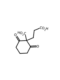 O=C(O)CCC1(C(=O)O)C(=O)CCCC1=O